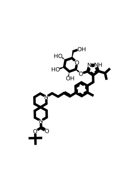 Cc1cc(/C=C/CCN2CCCC3(CCN(C(=O)OC(C)(C)C)CC3)C2)ccc1Cc1c(O[C@@H]2O[C@H](CO)[C@@H](O)[C@H](O)[C@H]2O)n[nH]c1C(C)C